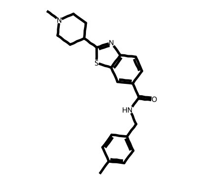 Cc1ccc(CNC(=O)c2ccc3nc(C4CCN(C)CC4)sc3c2)cc1